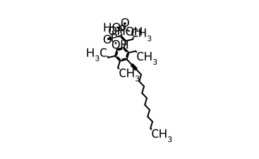 CCCCCCCCCCCC#Cc1c(CC)c(CC)cc(C(CC)=C(P(=O)(O)O)P(=O)(O)O)c1CC